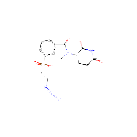 [N-]=[N+]=NCCS(=O)(=O)c1cccc2c1CN(C1CCC(=O)NC1=O)C2=O